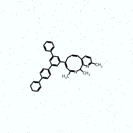 CC1=N/C(C)c2nc(C)ccc2/C=C\C/C(c2cc(-c3ccccc3)cc(-c3ccc(C4=CCCC=C4)cc3)c2)=C\1